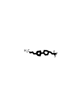 CCCCc1ccc(C2CCC(CCC(F)(F)F)CC2)cc1